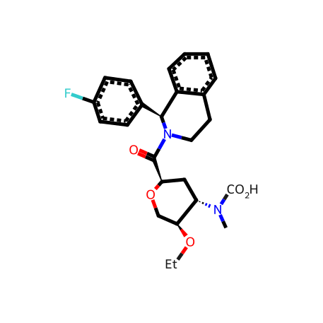 CCO[C@H]1CO[C@@H](C(=O)N2CCc3ccccc3[C@@H]2c2ccc(F)cc2)C[C@@H]1N(C)C(=O)O